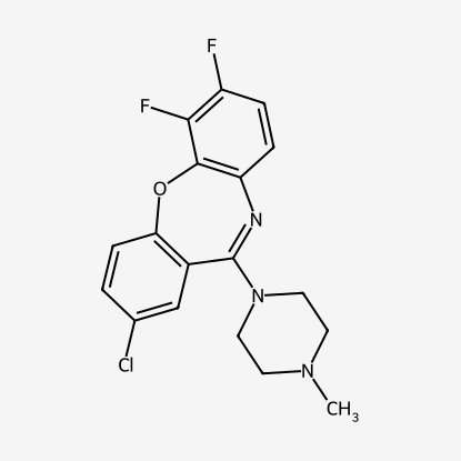 CN1CCN(C2=Nc3ccc(F)c(F)c3Oc3ccc(Cl)cc32)CC1